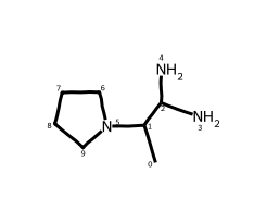 CC(C(N)N)N1CCCC1